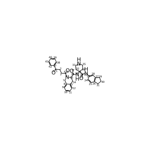 O=C(CCC(=O)N1Cc2ccccc2CC1C(=O)NC1(C(=O)Nc2ccc3c(c2)CCC3)CCNCC1)c1ccccc1